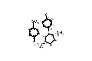 Cc1ccc(S(=O)(=O)O)cc1.Cc1ccc([C@@H]2CN(C(=O)O)CC[C@H]2N)cc1